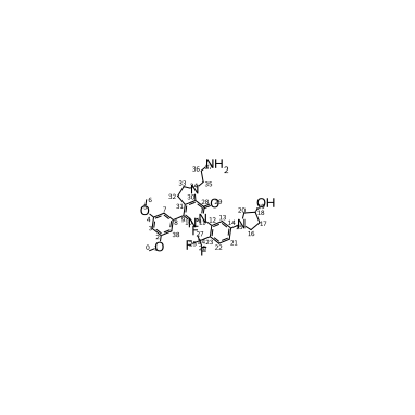 COc1cc(OC)cc(-c2nn(-c3cc(N4CC[C@H](O)C4)ccc3C(F)(F)F)c(=O)c3c2CCN3CCN)c1